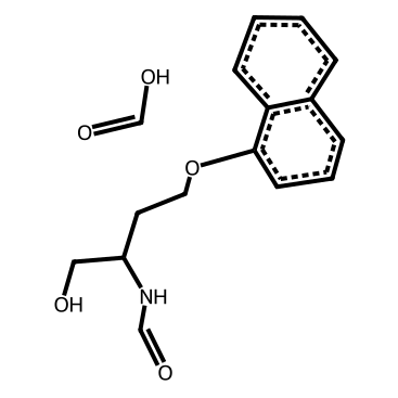 O=CNC(CO)CCOc1cccc2ccccc12.O=CO